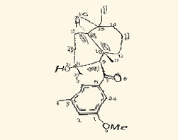 COc1cc(C)cc(C(=O)[C@@H]2[C@@]3(C)CCCC(C)(C)[C@@H]3CC[C@@]2(C)O)c1